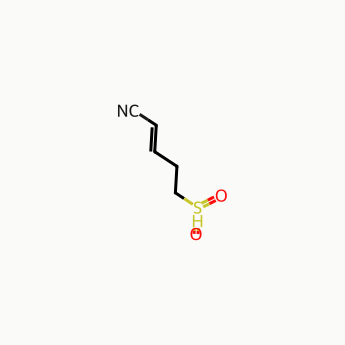 N#CC=CCC[SH](=O)=O